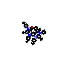 CC(C)(C)c1ccc(N2c3cc4c(cc3B3C5=C(N(c6ccccc6)c6cc(C(C)(C)C)cc2c63)C(C)(C)c2ccccc25)B2c3ccccc3N(c3ccc(C(C)(C)C)cc3)c3cc(C(C)(C)C)cc(c32)N4c2ccc(C(C)(C)C)cc2)cc1